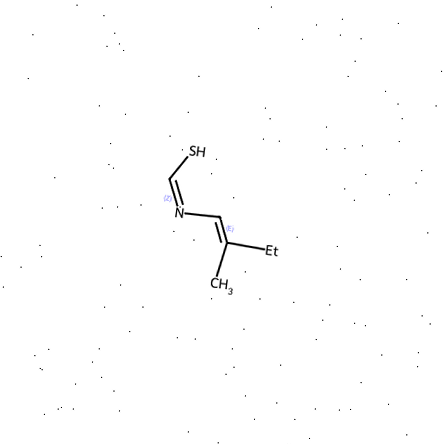 CC/C(C)=C/N=C\S